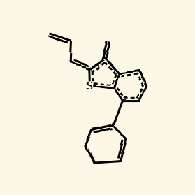 C=C/C=c1/sc2c(C3=CCCC=C3)cccc2c1=C